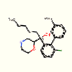 COCCCC[C@@](O)(c1cccc(Cl)c1-c1cccc(OC)c1)C1CNCCO1